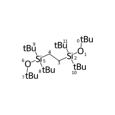 CC(C)(C)O[Si](CC[Si](OC(C)(C)C)(C(C)(C)C)C(C)(C)C)(C(C)(C)C)C(C)(C)C